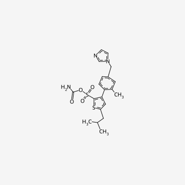 Cc1cc(Cn2ccnc2)ccc1-c1cc(CC(C)C)sc1S(=O)(=O)OC(N)=O